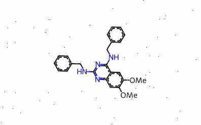 COc1cc2nc(NCc3ccccc3)nc(NCc3ccccc3)c2cc1OC